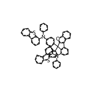 c1ccc(N(c2ccc3c(c2)-c2ccccc2C32c3oc4ccccc4c3-c3cccc(N(c4ccccc4)c4cccc5c4sc4ccccc45)c32)c2cccc3c2sc2ccccc23)cc1